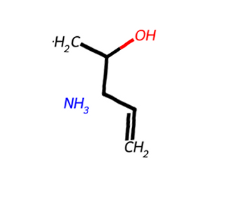 N.[CH2]C(O)CC=C